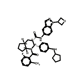 Cc1cccc(F)c1C(=O)N1[C@@H]2CCC[C@@H]2C[C@H](C(=O)Nc2ccc3c(cnn3C3COC3)c2)[C@@H]1c1ccc(NC2CCCC2)cc1